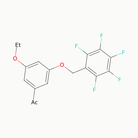 CCOc1cc(OCc2c(F)c(F)c(F)c(F)c2F)cc(C(C)=O)c1